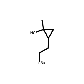 CCCCCCC1CC1(C)C#N